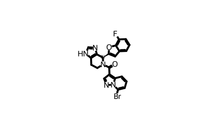 O=C(c1cnn2c(Br)cccc12)N1CCc2[nH]cnc2[C@H]1c1cc2cccc(F)c2o1